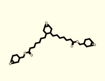 O=C(CCCCCCC1CC2OC2CC1CCCCCCC(=O)OCC1CCC2OC2C1)OCC1CCC2OC2C1